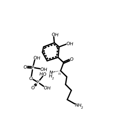 NCCCC[C@H](N)C(=O)c1cccc(O)c1O.O=P(O)(O)OP(=O)(O)O